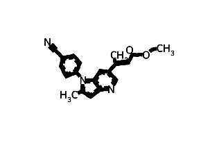 CCOC(=O)/C=C(\C)c1cnc2cc(C)n(-c3ccc(C#N)cc3)c2c1